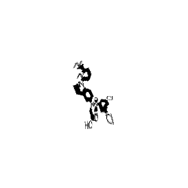 N#Cc1cccc(-n2ccc3cc(N(CC(=O)O)S(=O)(=O)c4cc(Cl)cc(Cl)c4)ccc32)n1